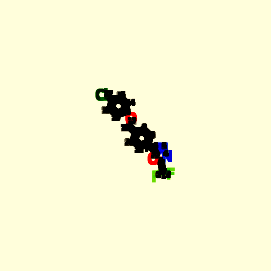 FC(F)c1nnc(-c2ccc(COc3ccc(Cl)cc3)cc2)o1